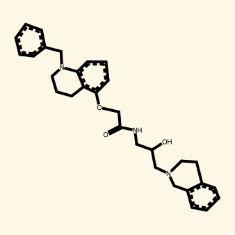 O=C(COc1cccc2c1CCCN2Cc1ccccc1)NCC(O)CN1CCc2ccccc2C1